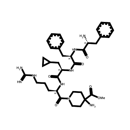 COC(=O)C1(N)CCN(C(=O)[C@@H](CCCNC(=N)N)NC(=O)[C@@H](CC2CC2)NC(=O)[C@@H](Cc2ccccc2)NC(=O)[C@H](N)Cc2ccccc2)CC1